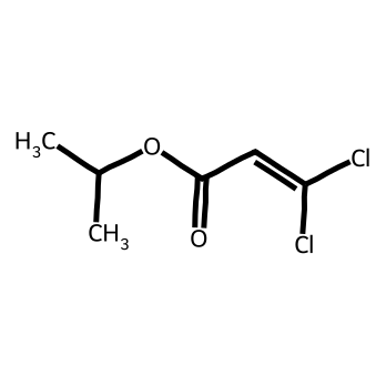 CC(C)OC(=O)C=C(Cl)Cl